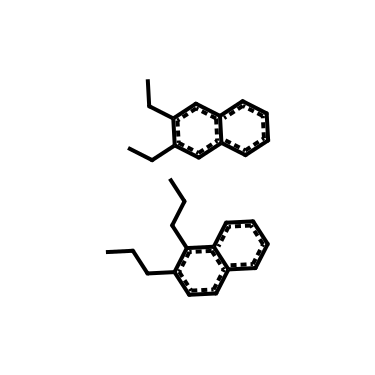 CCCc1ccc2ccccc2c1CCC.CCc1cc2ccccc2cc1CC